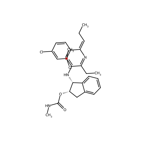 CC/C=C(/N=C(CC)\C(=N/C)N[C@@H]1c2ccccc2C[C@@H]1OC(=O)NC)c1ccc(Cl)cc1Cl